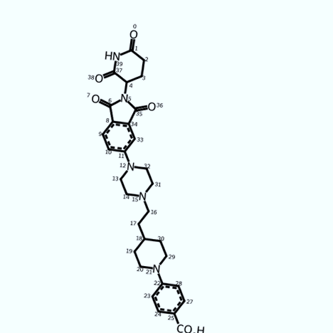 O=C1CCC(N2C(=O)c3ccc(N4CCN(CCC5CCN(c6ccc(C(=O)O)cc6)CC5)CC4)cc3C2=O)C(=O)N1